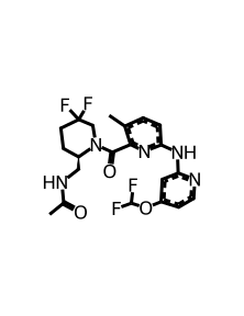 CC(=O)NC[C@H]1CCC(F)(F)CN1C(=O)c1nc(Nc2cc(OC(F)F)ccn2)ccc1C